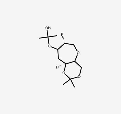 CC(C)(O)OC1C[C@@H]2OC(C)(C)OCC2OC[C@H]1F